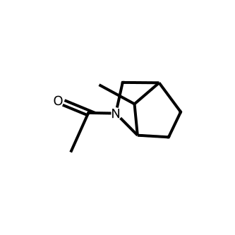 CC(=O)N1CC2CCC1C2C